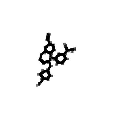 N#Cc1ccc2c(c1)CC=C=C(Cc1ccc(F)cc1)N2c1cccc(C(=O)O)c1